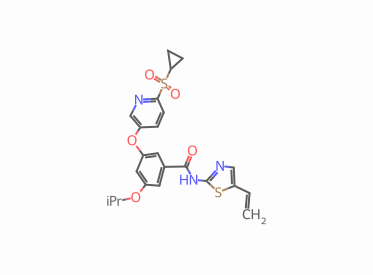 C=Cc1cnc(NC(=O)c2cc(Oc3ccc(S(=O)(=O)C4CC4)nc3)cc(OC(C)C)c2)s1